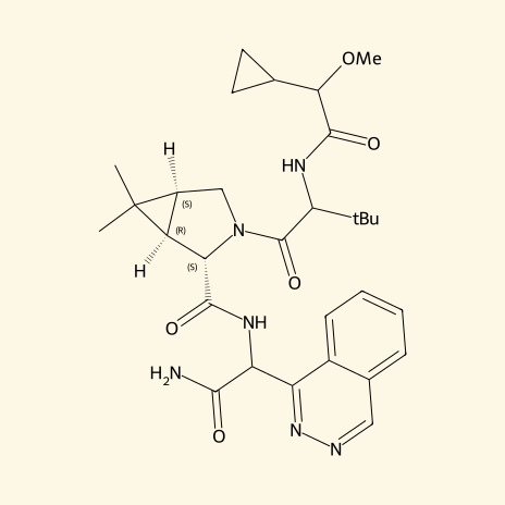 COC(C(=O)NC(C(=O)N1C[C@H]2[C@@H]([C@H]1C(=O)NC(C(N)=O)c1nncc3ccccc13)C2(C)C)C(C)(C)C)C1CC1